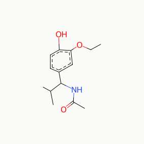 CCOc1cc(C(NC(C)=O)C(C)C)ccc1O